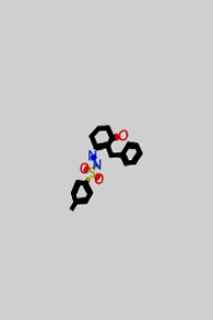 Cc1ccc(S(=O)(=O)N=NC2=C(Cc3ccccc3)C(=O)CCC2)cc1